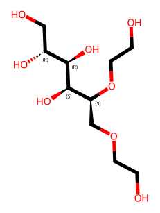 OCCOC[C@H](OCCO)[C@@H](O)[C@H](O)[C@H](O)CO